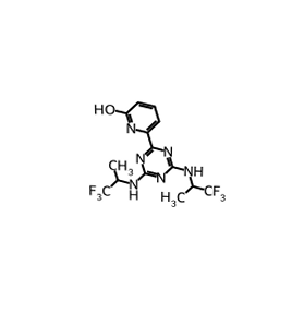 CC(Nc1nc(NC(C)C(F)(F)F)nc(-c2cccc(O)n2)n1)C(F)(F)F